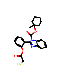 CC1(OC(=O)n2c(-c3ccccc3OC(=O)CS)nc3ccccc32)CCCCC1